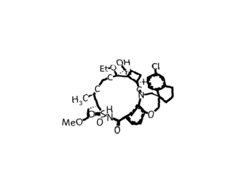 CCO[C@]1(CO)CCC[C@H](C)[C@@H](CCOC)S(=O)(=O)NC(=O)c2ccc3c(c2)N(C[C@@H]2CC[C@H]21)C[C@@]1(CCCc2cc(Cl)ccc21)CO3